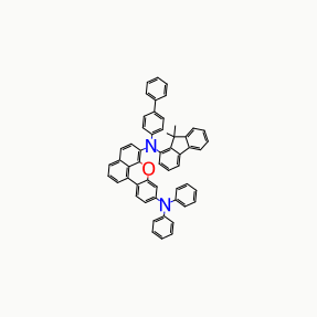 CC1(C)c2ccccc2-c2cccc(N(c3ccc(-c4ccccc4)cc3)c3ccc4cccc5c4c3Oc3cc(N(c4ccccc4)c4ccccc4)ccc3-5)c21